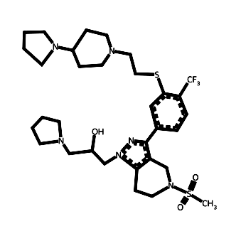 CS(=O)(=O)N1CCc2c(c(-c3ccc(C(F)(F)F)c(SCCN4CCC(N5CCCC5)CC4)c3)nn2CC(O)CN2CCCC2)C1